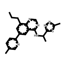 CCCc1cc(-c2ccc(C)cn2)cc2c(NC(C)c3nnc(C)s3)ncnc12